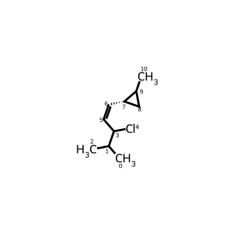 CC(C)C(Cl)/C=C\[C@H]1CC1C